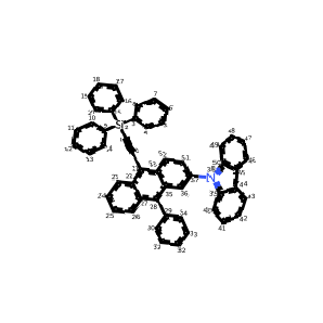 C(#C[Si](c1ccccc1)(c1ccccc1)c1ccccc1)c1c2ccccc2c(-c2ccccc2)c2cc(-n3c4ccccc4c4ccccc43)ccc12